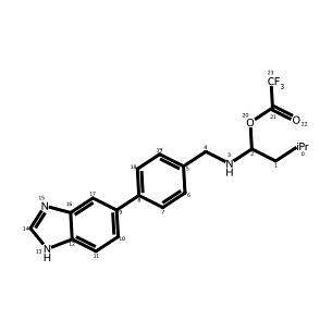 CC(C)CC(NCc1ccc(-c2ccc3[nH]cnc3c2)cc1)OC(=O)C(F)(F)F